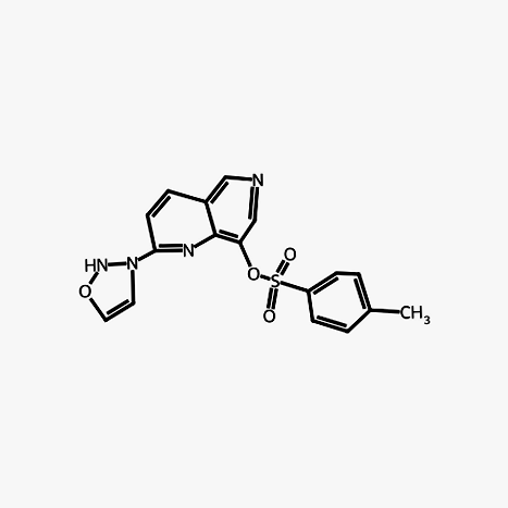 Cc1ccc(S(=O)(=O)Oc2cncc3ccc(N4C=CON4)nc23)cc1